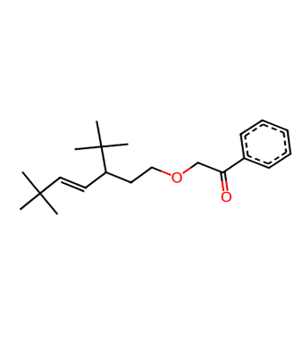 CC(C)(C)C=CC(CCOCC(=O)c1ccccc1)C(C)(C)C